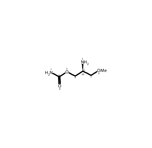 COC[C@H](N)COC(N)=O